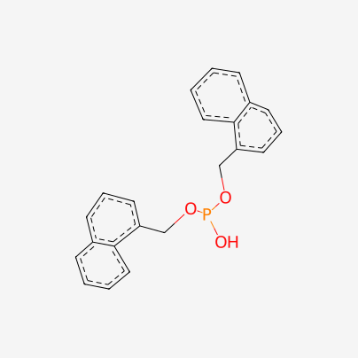 OP(OCc1cccc2ccccc12)OCc1cccc2ccccc12